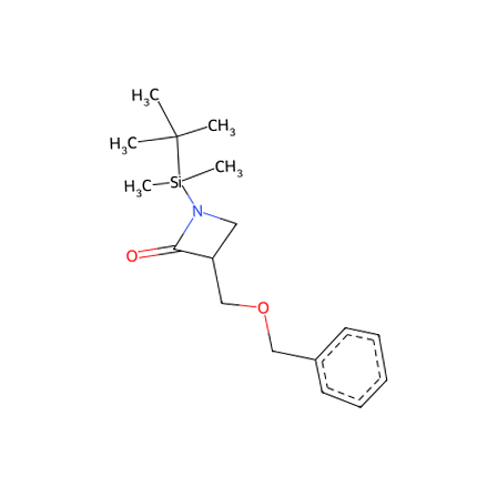 CC(C)(C)[Si](C)(C)N1CC(COCc2ccccc2)C1=O